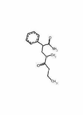 CCCC(=O)N(C)CC(C(N)=O)c1ccccc1